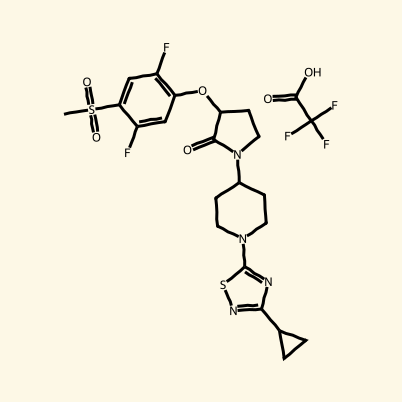 CS(=O)(=O)c1cc(F)c(OC2CCN(C3CCN(c4nc(C5CC5)ns4)CC3)C2=O)cc1F.O=C(O)C(F)(F)F